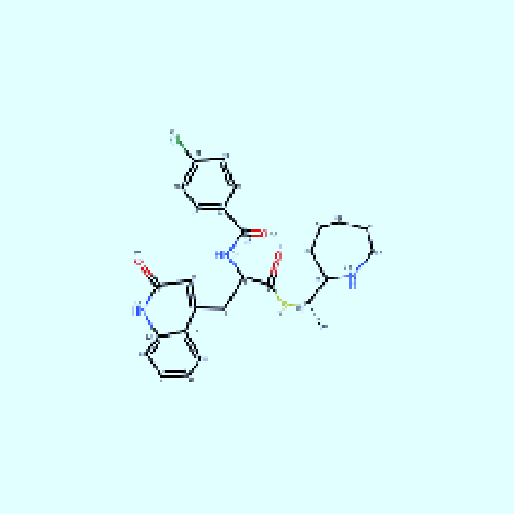 C[C@H](SC(=O)C(Cc1cc(=O)[nH]c2ccccc12)NC(=O)c1ccc(Cl)cc1)C1CCCCCN1